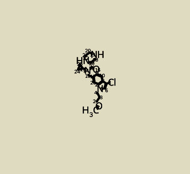 COCCCn1cc(Cl)c2ccc(CN(C(=O)[C@H]3CNCCN3)C3CC3)cc21